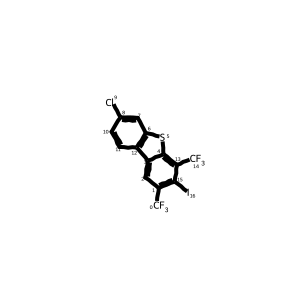 FC(F)(F)c1cc2c(sc3cc(Cl)ccc32)c(C(F)(F)F)c1I